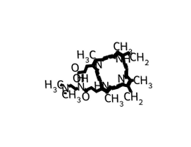 C=CC1=C(C)c2cc3[nH]c(cc4nc(cc5[nH]c(cc1n2)c(C)c5CCC(=O)NCCN(C)C)C(CCC(=O)O)=C4C)c(C)c3C=C